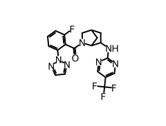 O=C(c1c(F)cccc1-n1nccn1)N1CC2CC(Nc3ncc(C(F)(F)F)cn3)C1C2